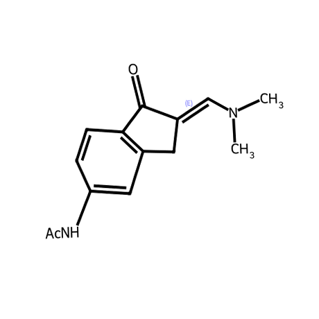 CC(=O)Nc1ccc2c(c1)C/C(=C\N(C)C)C2=O